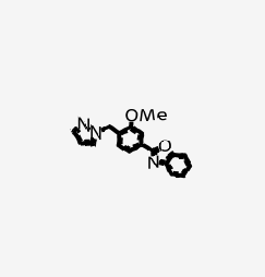 COc1cc(-c2nc3ccccc3o2)ccc1Cn1cccn1